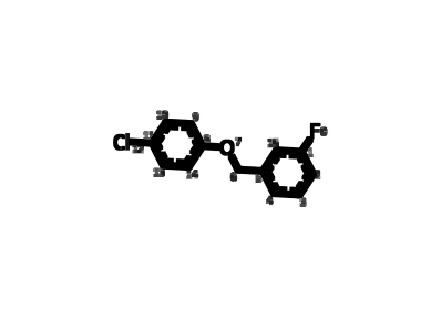 Fc1cccc(COc2ccc(Cl)cc2)c1